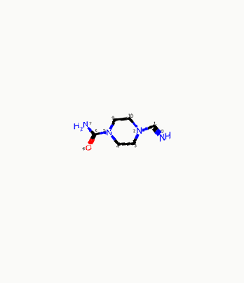 N=[C]N1CCN(C(N)=O)CC1